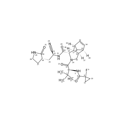 CC(C)(C)[C@H](NC(=O)C1(F)CC1)C(=O)N1C[C@H]2[C@@H]([C@H]1C(=O)N[C@H](C#N)C[C@@H]1CCNC1=O)[C@H]1C=C[C@@H]2C1